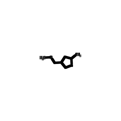 COCC1CSC(C)C1